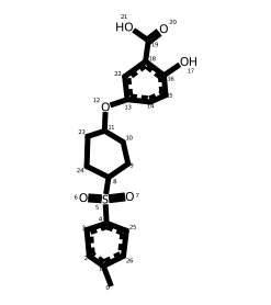 Cc1ccc(S(=O)(=O)C2CCC(Oc3ccc(O)c(C(=O)O)c3)CC2)cc1